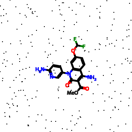 COC(=O)c1c(N)c2ccc(OC(F)F)cc2n(-c2ccc(N)nc2)c1=O